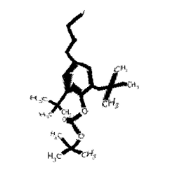 CC(C)(C)OC(=O)Oc1c(C(C)(C)C)cc(CCCI)cc1C(C)(C)C